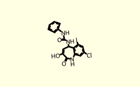 O=C(Nc1ccccc1)NC1C=C(O)C(=O)Nc2cc(Cl)cc(I)c21